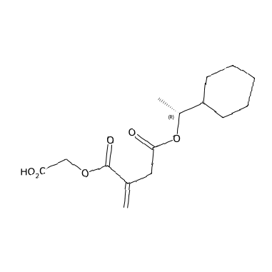 C=C(CC(=O)O[C@H](C)C1CCCCC1)C(=O)OCC(=O)O